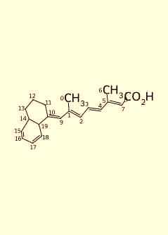 CC(=C\C=C\C(C)=C\C(=O)O)/C=C1\CCCC2C=CC=CC12